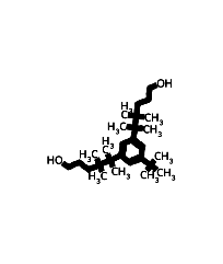 CC(C)(C)c1cc(C(C)(C)C(C)(C)CCCO)cc(C(C)(C)C(C)(C)CCCO)c1